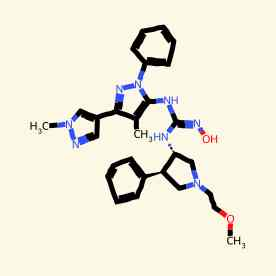 COCCN1C[C@@H](N/C(=N\O)Nc2c(C)c(-c3cnn(C)c3)nn2-c2ccccc2)[C@H](c2ccccc2)C1